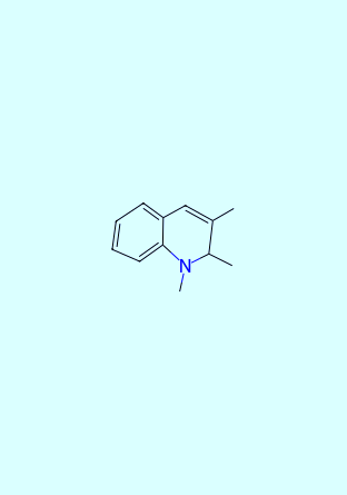 CC1=Cc2ccccc2N(C)C1C